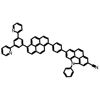 N#Cc1cc2ccc3cc(-c4ccc(-c5ccc6ccc7c(-c8cc(-c9ccccn9)cc(-c9ccccn9)c8)ccc8ccc5c6c87)cc4)cc4c3c2c(c1)n4-c1ccccc1